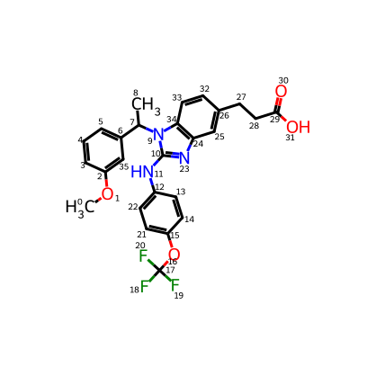 COc1cccc(C(C)n2c(Nc3ccc(OC(F)(F)F)cc3)nc3cc(CCC(=O)O)ccc32)c1